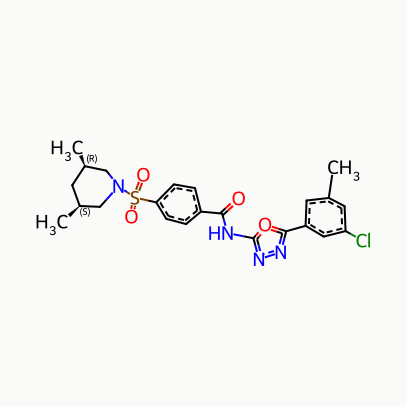 Cc1cc(Cl)cc(-c2nnc(NC(=O)c3ccc(S(=O)(=O)N4C[C@H](C)C[C@H](C)C4)cc3)o2)c1